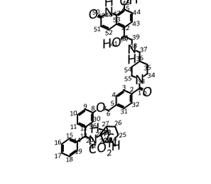 O=C(c1ccc(COc2cccc(C(c3ccccc3)N(C(=O)O)[C@H]3CN4CCC3CC4)c2)cc1)N1CCC(CNC[C@@H](O)c2ccc(O)c3[nH]c(=O)ccc23)CC1